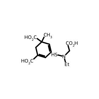 CC1(C(=O)O)C=CC=C(C(=O)O)C1.CCN(S)CC(=O)O